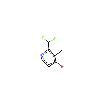 Cc1c(Br)ccnc1C(F)F